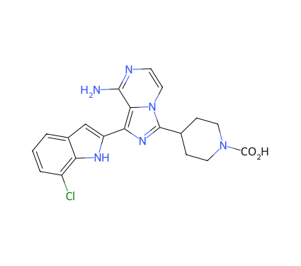 Nc1nccn2c(C3CCN(C(=O)O)CC3)nc(-c3cc4cccc(Cl)c4[nH]3)c12